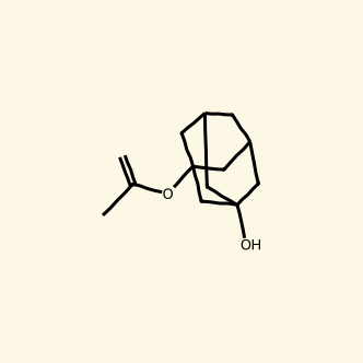 C=C(C)OC12CC3CC(CC(O)(C3)C1)C2